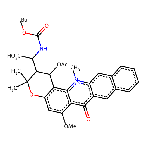 COc1cc2c(c3c1c(=O)c1cc4ccccc4cc1n3C)C(OC(C)=O)C(C(NC(=O)OC(C)(C)C)C(=O)O)C(C)(C)O2